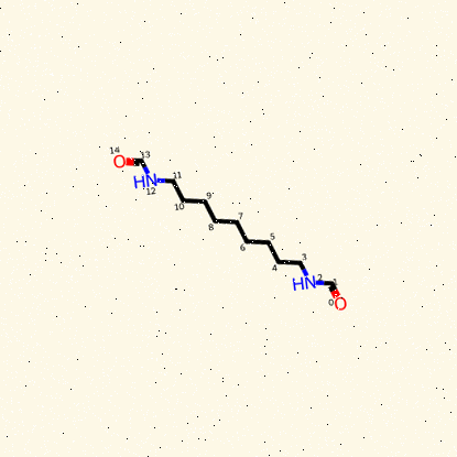 O=CNCCCCCCCCCNC=O